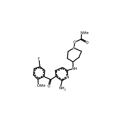 CNC(=O)ON1CCC(Nc2ccc(C(=O)c3cc(F)ccc3OC)c(N)n2)CC1